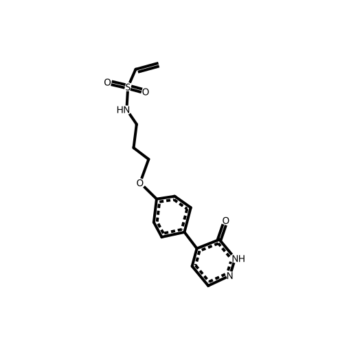 C=CS(=O)(=O)NCCCOc1ccc(-c2ccn[nH]c2=O)cc1